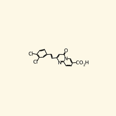 O=C(O)c1ccc2nc(C=Cc3ccc(Cl)c(Cl)c3)cc(=O)n2c1